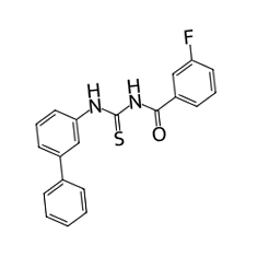 O=C(NC(=S)Nc1cccc(-c2ccccc2)c1)c1cccc(F)c1